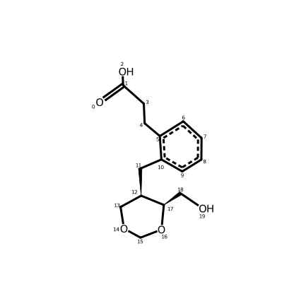 O=C(O)CCc1ccccc1C[C@@H]1COCO[C@@H]1CO